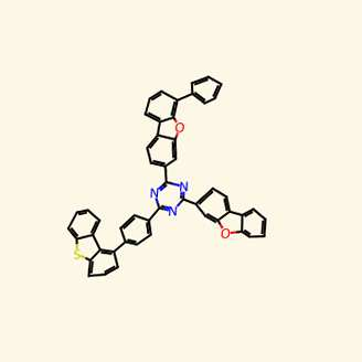 c1ccc(-c2cccc3c2oc2cc(-c4nc(-c5ccc(-c6cccc7sc8ccccc8c67)cc5)nc(-c5ccc6c(c5)oc5ccccc56)n4)ccc23)cc1